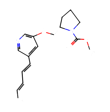 CC(C)(C)C=CC=Cc1cncc(OC[C@@H]2CCCN2C(=O)OC(C)(C)C)c1